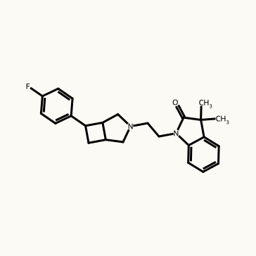 CC1(C)C(=O)N(CCN2CC3CC(c4ccc(F)cc4)C3C2)c2ccccc21